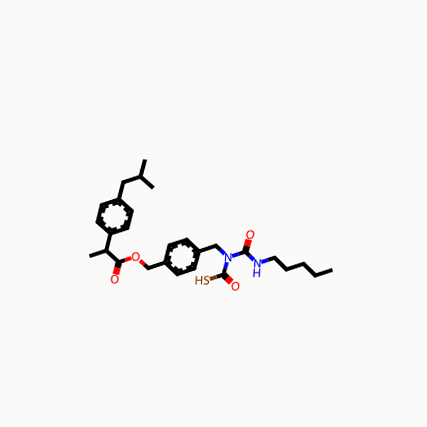 CCCCCNC(=O)N(Cc1ccc(COC(=O)C(C)c2ccc(CC(C)C)cc2)cc1)C(=O)S